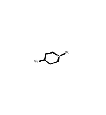 [CH2]CN1CCC(CCC)CC1